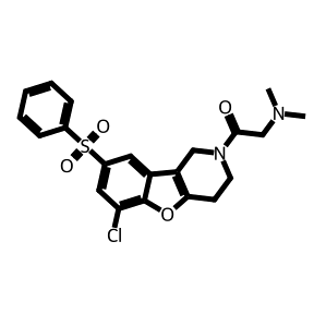 CN(C)CC(=O)N1CCc2oc3c(Cl)cc(S(=O)(=O)c4ccccc4)cc3c2C1